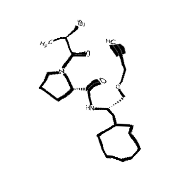 C#CCOC[C@@H](NC(=O)[C@@H]1CCCN1C(=O)[C@@H](C)C(C)(C)C)C1CCCCC1